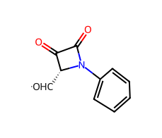 O=[C][C@@H]1C(=O)C(=O)N1c1ccccc1